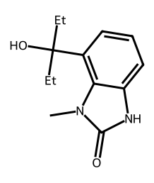 CCC(O)(CC)c1cccc2[nH]c(=O)n(C)c12